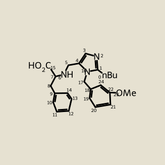 CCCCc1ncc(CNC(Cc2ccccc2)C(=O)O)n1Cc1cccc(OC)c1